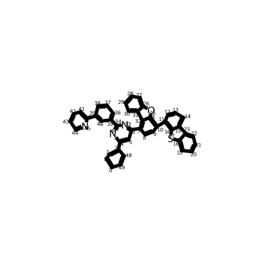 c1ccc(-c2cc(-c3ccc(-c4cccc5c4sc4ccccc45)c4oc5ccccc5c34)nc(-c3cccc(-c4ccccn4)c3)n2)cc1